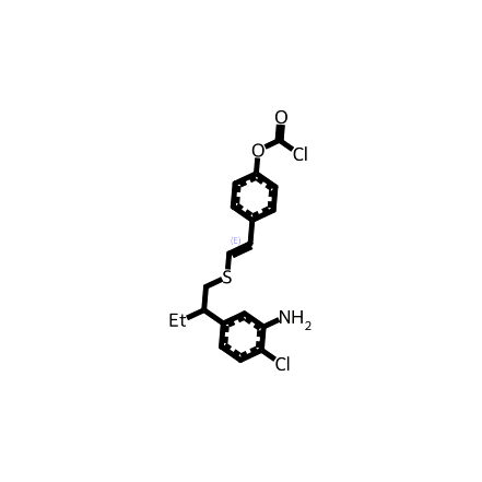 CCC(CS/C=C/c1ccc(OC(=O)Cl)cc1)c1ccc(Cl)c(N)c1